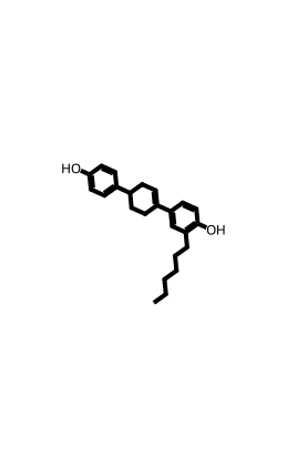 CCCCCCc1cc(C2=CCC(c3ccc(O)cc3)CC2)ccc1O